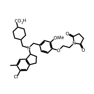 COc1cc(CN(CC2CCC(C(=O)O)CC2)C2CCc3cc(Cl)c(C)cc32)ccc1OCCN1C(=O)CCC1=O